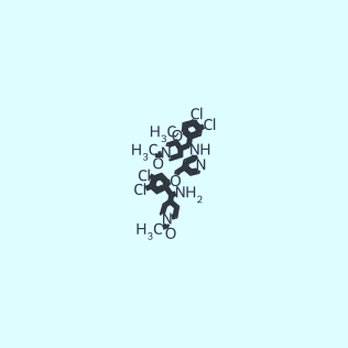 COc1cc(Cl)c(Cl)cc1C(Nc1cc(COc2cc(Cl)c(Cl)cc2C(N)C2CCN(C(C)=O)CC2)ccn1)C1CCN(C(C)=O)CC1